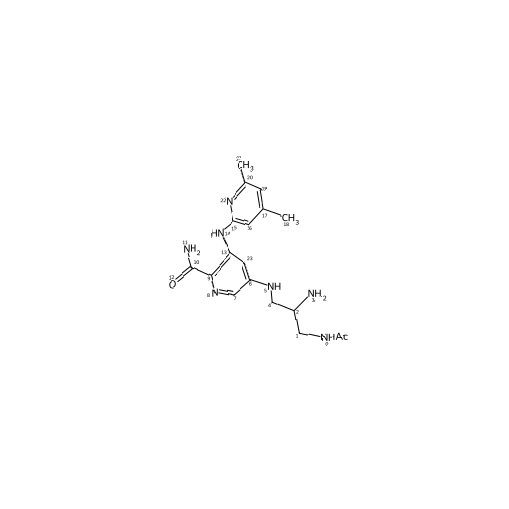 CC(=O)NCC(N)CNc1cnc(C(N)=O)c(Nc2cc(C)cc(C)n2)c1